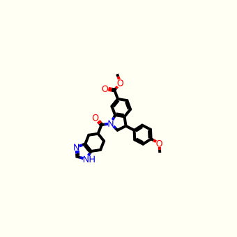 COC(=O)c1ccc2c(c1)N(C(=O)C1CCc3[nH]cnc3C1)CC2c1ccc(OC)cc1